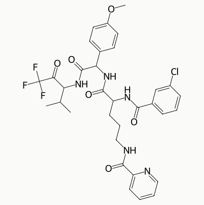 COc1ccc(C(NC(=O)C(CCCNC(=O)c2ccccn2)NC(=O)c2cccc(Cl)c2)C(=O)NC(C(=O)C(F)(F)F)C(C)C)cc1